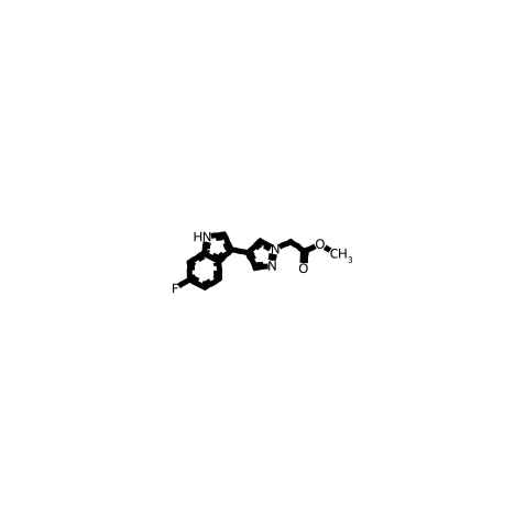 COC(=O)Cn1cc(-c2c[nH]c3cc(F)ccc23)cn1